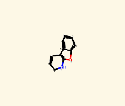 C1=Cc2c(oc3ccccc23)NC1